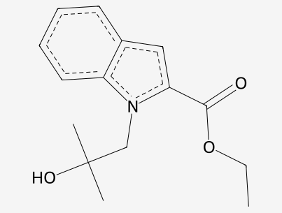 CCOC(=O)c1cc2ccccc2n1CC(C)(C)O